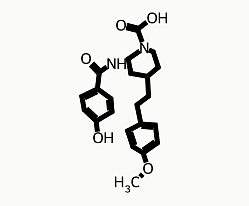 COc1ccc(CCC2CCN(C(=O)O)CC2)cc1.NC(=O)c1ccc(O)cc1